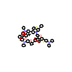 CC1(C)c2cc3c(cc2-c2c(N(c4ccccc4)c4ccccc4)ccc(-c4ccc(N(c5ccc6c(c5)Oc5cc7c(cc5C65c6ccccc6-c6ccccc65)sc5cc(N(c6ccccc6)c6ccccc6)ccc57)c5ccc(-c6ccccc6)c6sc7ccccc7c56)cc4)c21)C1(c2ccccc2-c2ccccc21)c1cccc(N(c2ccccc2)c2ccc4oc5c(-c6ccccc6)cccc5c4c2)c1O3